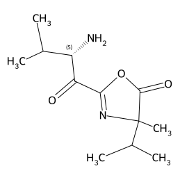 CC(C)[C@H](N)C(=O)C1=NC(C)(C(C)C)C(=O)O1